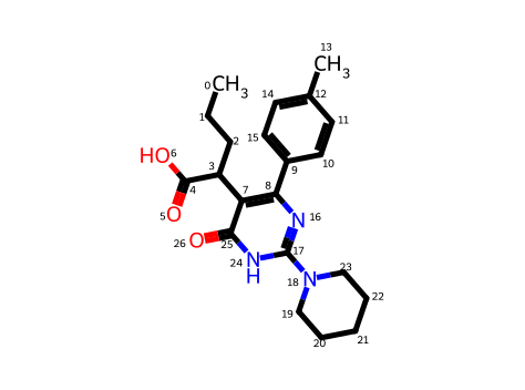 CCCC(C(=O)O)c1c(-c2ccc(C)cc2)nc(N2CCCCC2)[nH]c1=O